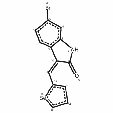 O=C1Nc2cc(Br)ccc2C1=Cc1ccc[se]1